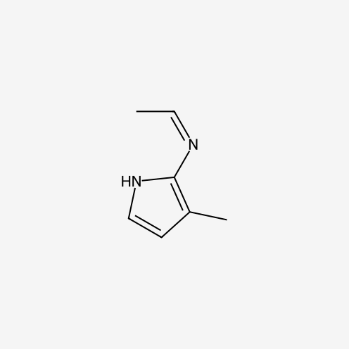 C/C=N\c1[nH]ccc1C